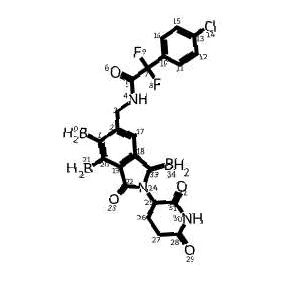 Bc1c(CNC(=O)C(F)(F)c2ccc(Cl)cc2)cc2c(c1B)C(=O)N(C1CCC(=O)NC1=O)C2B